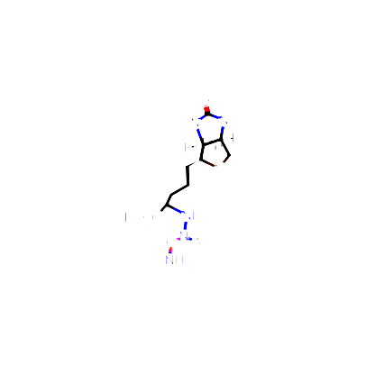 CC(=O)N(NC(CCC[C@@H]1SC[C@@H]2NC(=O)N[C@@H]21)C(=O)O)ON